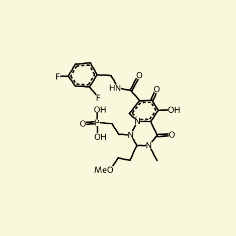 COCCC1N(C)C(=O)c2c(O)c(=O)c(C(=O)NCc3ccc(F)cc3F)cn2N1CCP(=O)(O)O